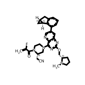 C=C(F)C(=O)N1CCN(c2nc(OC[C@@H]3CCCN3C)nc3cc(-c4cccc5c4[C@H]4C[C@H]4C5)cnc23)C[C@@H]1CC#N